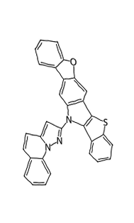 c1ccc2c(c1)ccc1cc(-n3c4cc5c(cc4c4sc6ccccc6c43)oc3ccccc35)nn12